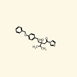 CC(C)[C@](O)(CCc1ccc(OCc2ccccc2)cc1)CC(=O)n1ccnc1